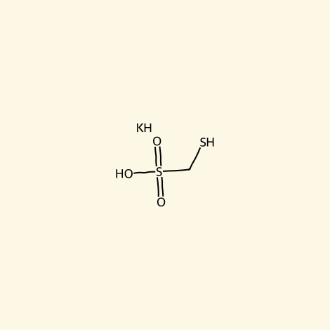 O=S(=O)(O)CS.[KH]